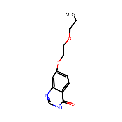 COCCOCCOc1ccc2c(=O)[nH]cnc2c1